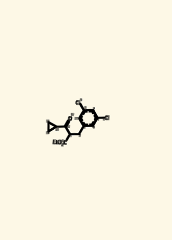 CCOC(=O)C(Cc1cc(Cl)cc(Cl)c1)C(=O)C1CC1